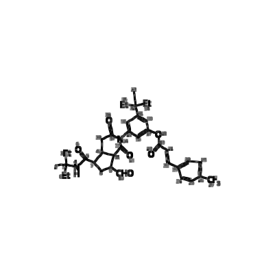 CCC(C)(CC)NC(=O)C1CC(C=O)C2C(=O)N(c3cc(OC(=O)C=Cc4ccc(C(F)(F)F)cc4)cc(C(C)(CC)CC)c3)C(=O)CC12